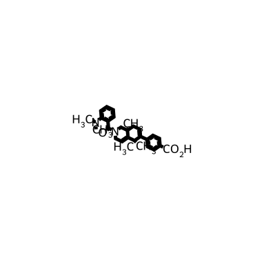 CN(C)c1ccccc1C(=O)N1CC=C2C(C)(C)C(c3ccc(C(=O)O)cc3)=CC[C@]2(C)C1